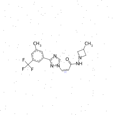 Cc1cc(-c2ncn(/C=C\C(=O)NN3CC(C)C3)n2)cc(C(F)(F)F)c1